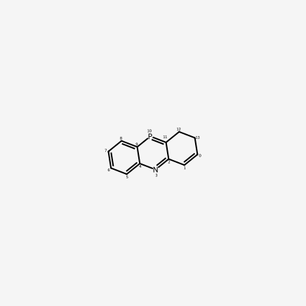 C1=Cc2nc3ccccc3pc2CC1